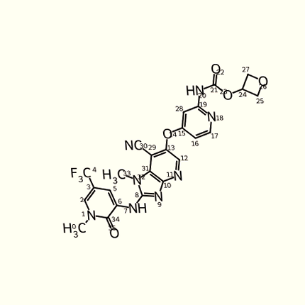 Cn1cc(C(F)(F)F)cc(Nc2nc3ncc(Oc4ccnc(NC(=O)OC5COC5)c4)c(C#N)c3n2C)c1=O